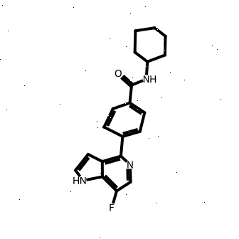 O=C(NC1CCCCC1)c1ccc(-c2ncc(F)c3[nH]ccc23)cc1